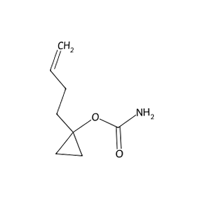 C=CCCC1(OC(N)=O)CC1